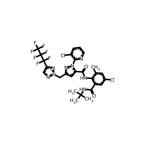 Cc1cc(Cl)cc(C(=O)NC(C)(C)C)c1NC(=O)c1cc(Cn2ncc(C(F)(F)C(F)(F)C(F)(F)F)n2)nn1-c1ncccc1Cl